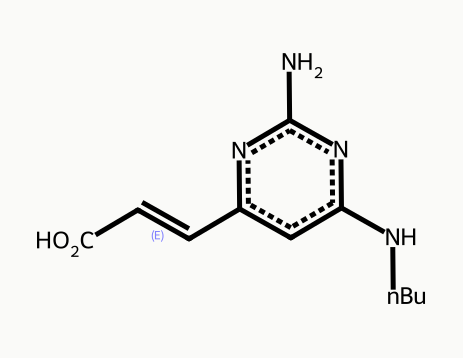 CCCCNc1cc(/C=C/C(=O)O)nc(N)n1